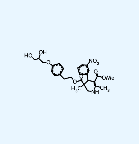 COC(=O)C1=C(C)NCC(C)(C(=O)OCCc2ccc(OCC(O)CO)cc2)C1c1cccc([N+](=O)[O-])c1